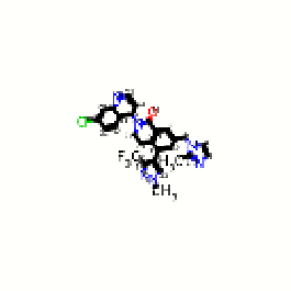 Cc1nccn1Cc1cc2c(c(-c3cn(C)nc3C(F)(F)F)c1)CCN(c1ccnc3cc(Cl)ccc13)C2=O